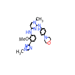 COc1c(NC2=NC(Nc3ccc(N4CCOCC4)cc3)N(C)C=C2)cccc1-c1ncn(C)n1